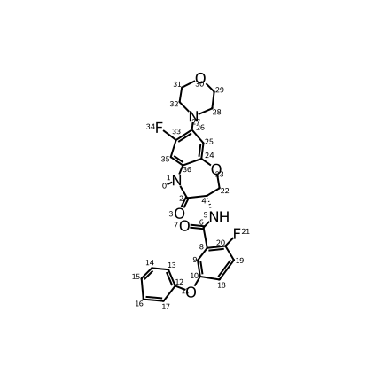 CN1C(=O)[C@@H](NC(=O)c2cc(Oc3ccccc3)ccc2F)COc2cc(N3CCOCC3)c(F)cc21